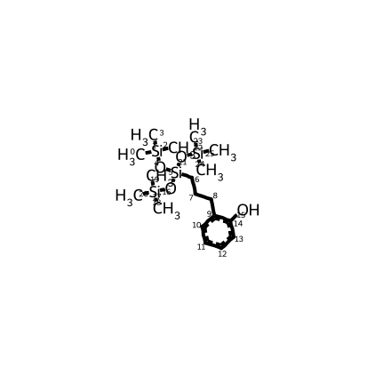 C[Si](C)(C)O[Si](CCCc1ccccc1O)(O[Si](C)(C)C)O[Si](C)(C)C